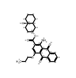 CCCSc1cc(C(=O)O[C@@H]2CC[C@@H]3CCCCC3C2)c(N)c2c1C(=O)c1ccccc1C2=O